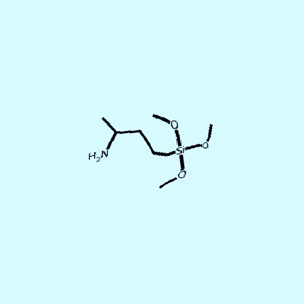 CO[Si](CCC(C)N)(OC)OC